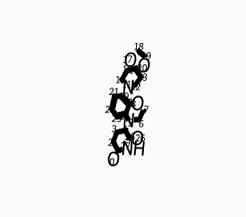 O=C1CCC(N2CCOc3c(N4CCC5(CC4)OCCO5)cccc32)C(=O)N1